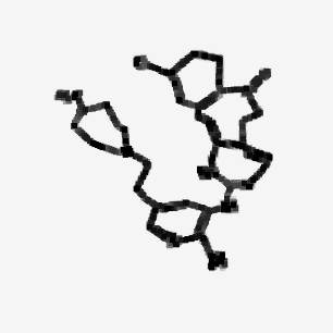 Cc1ncc(CCN2CCN(C)CC2)cc1NC1=NC=C2C[N+](=O)C3=C(C=C(Cl)CC3)C=C2N1